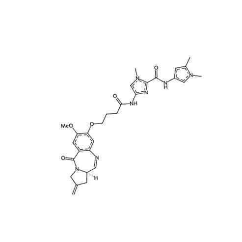 C=C1C[C@@H]2C=Nc3cc(OCCCC(=O)Nc4cn(C)c(C(=O)Nc5cc(C)n(C)c5)n4)c(OC)cc3C(=O)N2C1